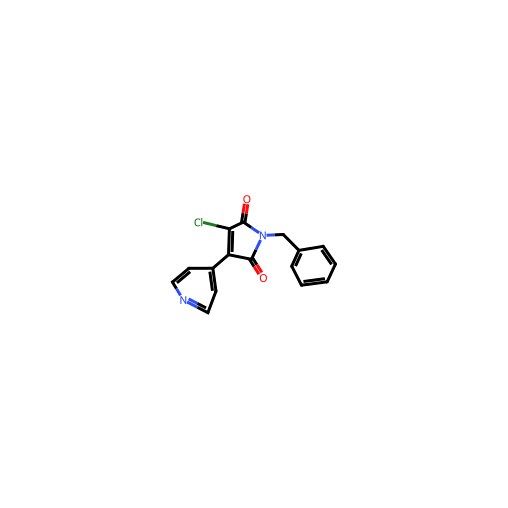 O=C1C(Cl)=C(c2ccncc2)C(=O)N1Cc1ccccc1